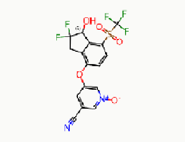 N#Cc1cc(Oc2ccc(S(=O)(=O)C(F)(F)F)c3c2CC(F)(F)[C@H]3O)c[n+]([O-])c1